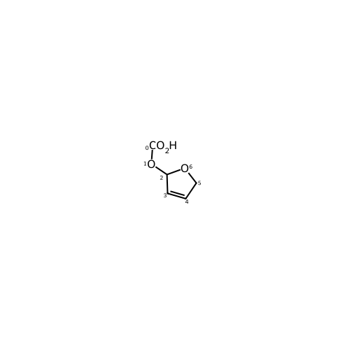 O=C(O)OC1C=CCO1